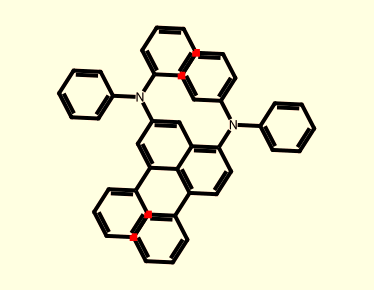 c1ccc(-c2ccc(N(c3ccccc3)c3ccccc3)c3cc(N(c4ccccc4)c4ccccc4)cc(-c4ccccc4)c23)cc1